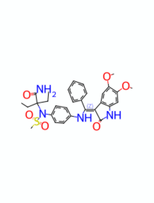 CCC(CC)(C(N)=O)N(c1ccc(N/C(=C2\C(=O)Nc3cc(OC)c(OC)cc32)c2ccccc2)cc1)S(C)(=O)=O